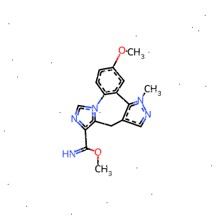 COC(=N)c1ncn2c1Cc1cnn(C)c1-c1cc(OC)ccc1-2